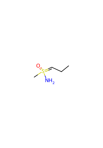 CCC=S(C)(N)=O